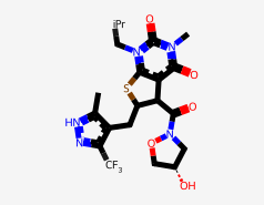 Cc1[nH]nc(C(F)(F)F)c1CC1Sc2c(c(=O)n(C)c(=O)n2CC(C)C)C1C(=O)N1C[C@H](O)CO1